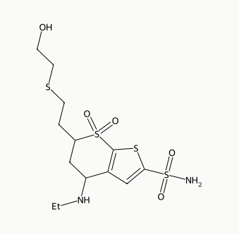 CCNC1CC(CCSCCO)S(=O)(=O)c2sc(S(N)(=O)=O)cc21